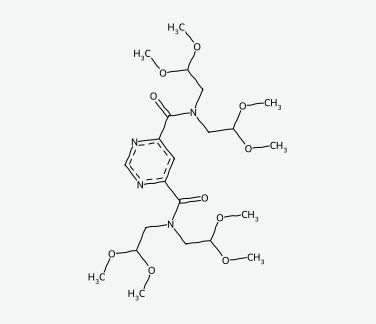 COC(CN(CC(OC)OC)C(=O)c1cc(C(=O)N(CC(OC)OC)CC(OC)OC)ncn1)OC